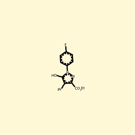 CCOC(=O)c1nn(-c2ccc(F)cc2)c(O)c1C(C)C